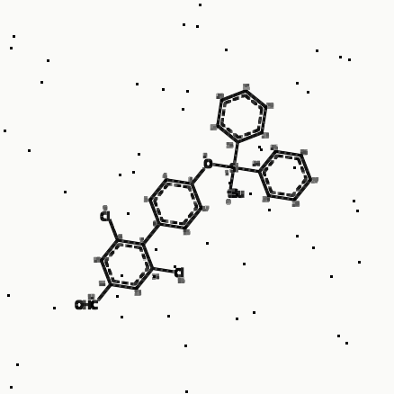 CC(C)(C)[Si](Oc1ccc(-c2c(Cl)cc(C=O)cc2Cl)cc1)(c1ccccc1)c1ccccc1